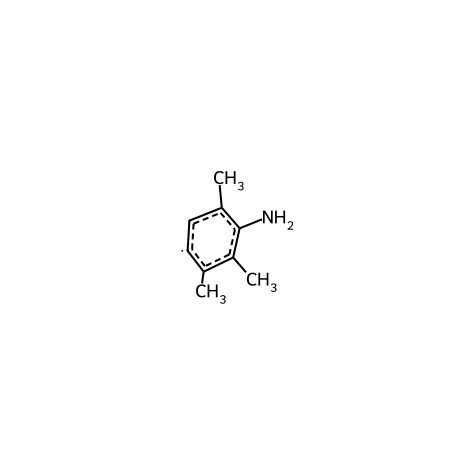 Cc1[c]cc(C)c(N)c1C